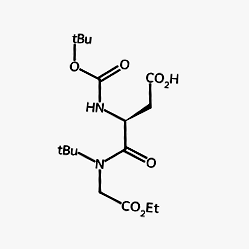 CCOC(=O)CN(C(=O)[C@H](CC(=O)O)NC(=O)OC(C)(C)C)C(C)(C)C